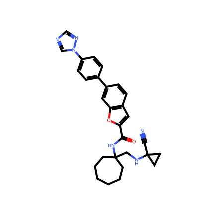 N#CC1(NCC2(NC(=O)c3cc4ccc(-c5ccc(-n6cncn6)cc5)cc4o3)CCCCCC2)CC1